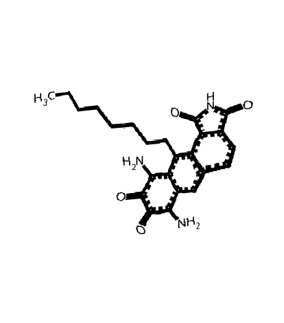 CCCCCCCCc1c2c(N)c(=O)c(=O)c(N)c2cc2ccc3c(=O)[nH]c(=O)c3c12